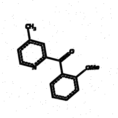 COc1ccccc1C(=O)c1cc(C)ccn1